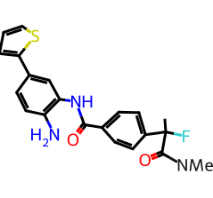 CNC(=O)C(C)(F)c1ccc(C(=O)Nc2cc(-c3cccs3)ccc2N)cc1